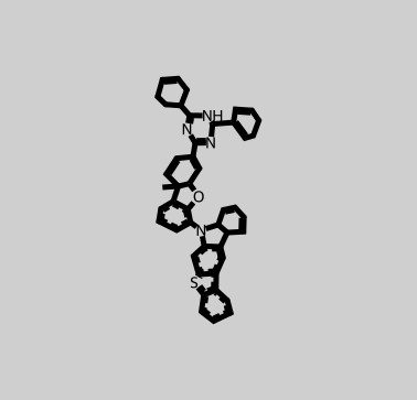 CC12C=CC(C3=NC(C4=CCCC=C4)NC(C4CC=CCC4)=N3)=CC1Oc1c(N3c4cc5sc6ccccc6c5cc4C4C=CC=CC43)cccc12